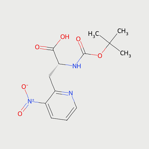 CC(C)(C)OC(=O)N[C@H](Cc1ncccc1[N+](=O)[O-])C(=O)O